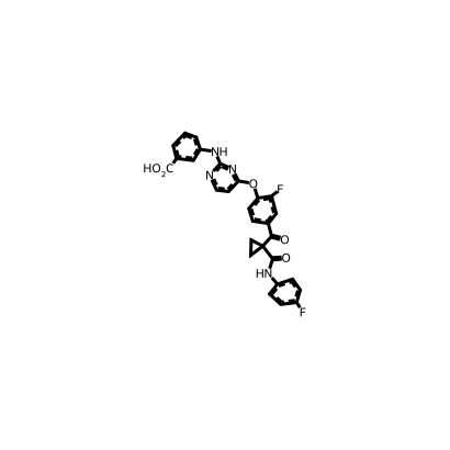 O=C(O)c1cccc(Nc2nccc(Oc3ccc(C(=O)C4(C(=O)Nc5ccc(F)cc5)CC4)cc3F)n2)c1